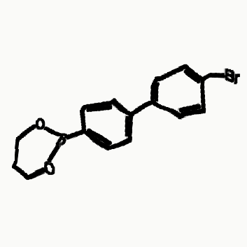 Brc1ccc(-c2ccc(B3OCCCO3)cc2)cc1